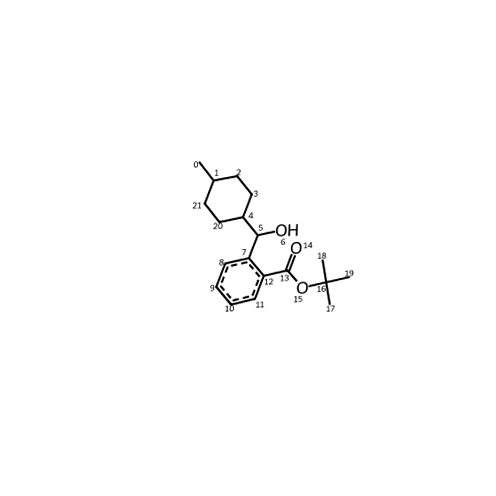 CC1CCC(C(O)c2ccccc2C(=O)OC(C)(C)C)CC1